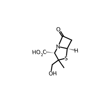 CC1(CO)S[C@@H]2CC(=O)N2[C@H]1C(=O)O